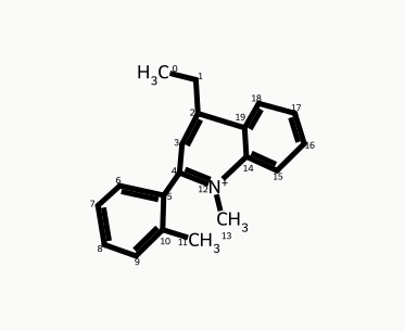 CCc1cc(-c2ccccc2C)[n+](C)c2ccccc12